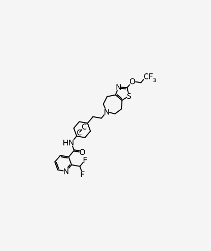 O=C(NC12CCC(CCN3CCc4nc(OCC(F)(F)F)sc4CC3)(CC1)CC2)c1cccnc1C(F)F